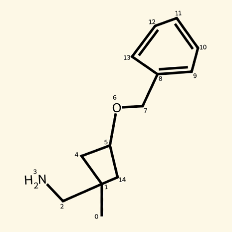 CC1(CN)CC(OCc2ccccc2)C1